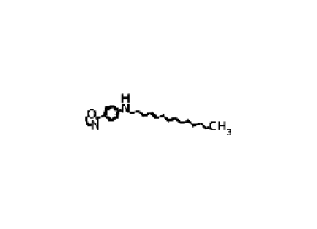 CCCCCCCCCC=CCCCNc1ccc(C2=NCCO2)cc1